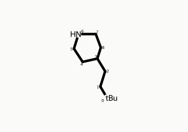 CC(C)(C)CCC1CCNCC1